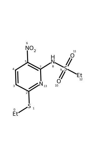 CCSc1ccc([N+](=O)[O-])c(NS(=O)(=O)CC)n1